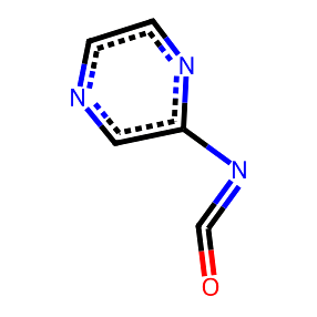 O=C=Nc1cnccn1